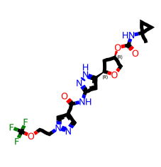 CC1(NC(=O)O[C@H]2CO[C@@H](c3cc(NC(=O)c4cnn(CCOC(F)(F)F)c4)n[nH]3)C2)CC1